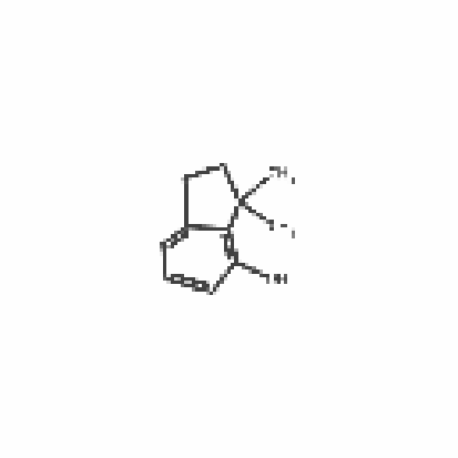 CC1(C)CCc2cccc(O)c21